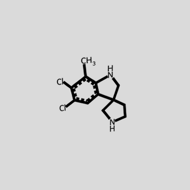 Cc1c(Cl)c(Cl)cc2c1NCC21CCNC1